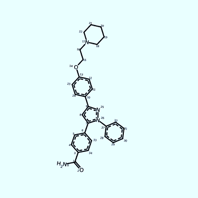 NC(=O)c1ccc(-c2cc(-c3ccc(OCCN4CCCCC4)cc3)nn2-c2ccccc2)cc1